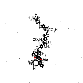 CC[C@@]1(O)CNCCc2c([nH]c3ccccc23)[C@@](C(=O)OC)(c2cc3c(cc2OC)N(C)[C@H]2[C@@](O)(CNC(=O)c4ccc([Si](C)(C)O[Si](C)(CCCC(=O)O)c5ccc(NC(=O)CC[C@H](NC(=O)c6ccc(NCc7cnc8nc(N)[nH]c(=O)c8n7)cc6)C(=O)O)cc5)cc4)[C@H](O)[C@]4(CC)C=CCN5CC[C@]32[C@H]54)C[C@H](C)C1